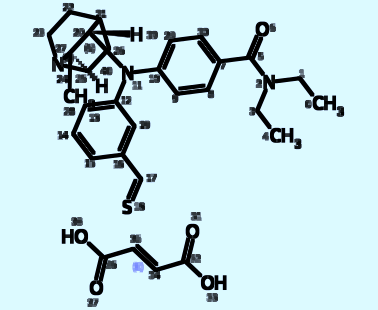 CCN(CC)C(=O)c1ccc(N(c2cccc(C=S)c2)[C@H]2C3CCN(CC3)[C@@H]2C)cc1.O=C(O)/C=C/C(=O)O